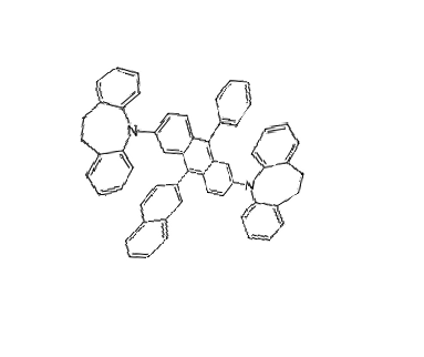 c1ccc(-c2c3ccc(N4c5ccccc5CCc5ccccc54)cc3c(-c3ccc4ccccc4c3)c3ccc(N4c5ccccc5CCc5ccccc54)cc23)cc1